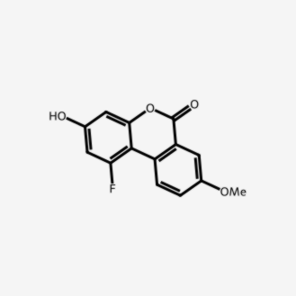 COc1ccc2c(c1)c(=O)oc1cc(O)cc(F)c12